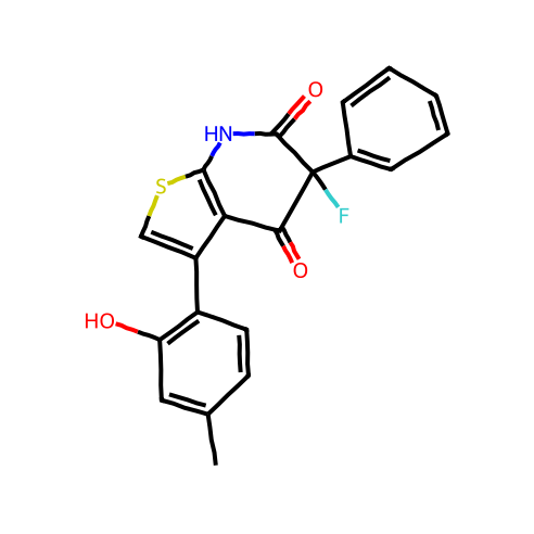 Cc1ccc(-c2csc3c2C(=O)C(F)(c2ccccc2)C(=O)N3)c(O)c1